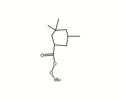 CC1CC(C(=O)OOC(C)(C)C)CC(C)(C)C1